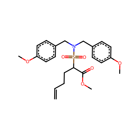 C=CCCC(C(=O)OC)S(=O)(=O)N(Cc1ccc(OC)cc1)Cc1ccc(OC)cc1